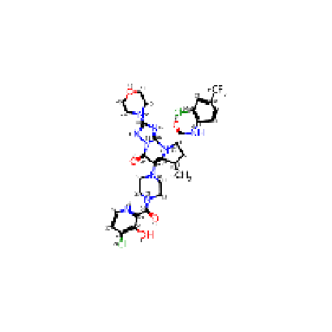 C[C@@H]1C[C@@H](C(=O)Nc2ccc(C(F)(F)F)cc2Cl)n2c1c(N1CCN(C(=O)c3nccc(Cl)c3O)CC1)c(=O)n1nc(N3CCOCC3)nc21